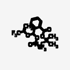 C=C(OC(OC(=O)C(F)(F)F)c1ccccc1C(=O)O[Si](C)(C)C)C(F)(F)F